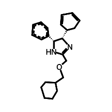 C1=CCC([C@@H]2N=C(COCC3CCCCC3)N[C@@H]2c2ccccc2)C=C1